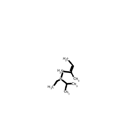 CC=C(C)[SiH2]N(CC)C(C)C